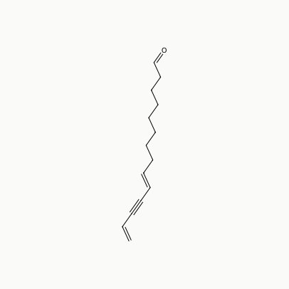 C=CC#CC=CCCCCCCCC=O